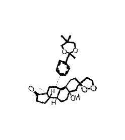 CC1(C)COC(C)(c2ccc([C@H]3C[C@]4(C)C(=O)CC[C@H]4[C@@H]4CC[C@@]5(O)CC6(CCOO6)CCC5=C43)cc2)OC1